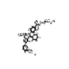 COCc1nn(-c2cccc(C(F)(F)F)n2)cc1C(Nc1ccc(C(=O)NCCC(=O)O)cc1)C1CCCCC1